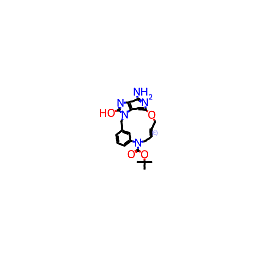 CC(C)(C)OC(=O)N1C/C=C/COc2cc3c(nc(O)n3Cc3cccc1c3)c(N)n2